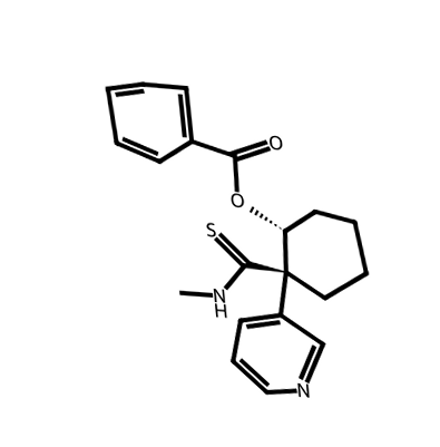 CNC(=S)[C@]1(c2cccnc2)CCCC[C@H]1OC(=O)c1ccccc1